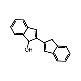 OC1C(C2=Cc3ccccc3C2)=Cc2ccccc21